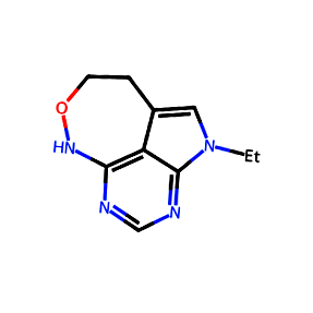 CCn1cc2c3c(ncnc31)NOCC2